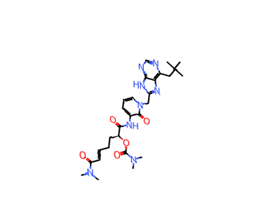 CN(C)C(=O)/C=C/CC[C@H](OC(=O)N(C)C)C(=O)Nc1cccn(Cc2nc3c(CC(C)(C)C)ncnc3[nH]2)c1=O